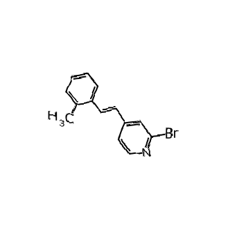 Cc1ccccc1/C=C/c1ccnc(Br)c1